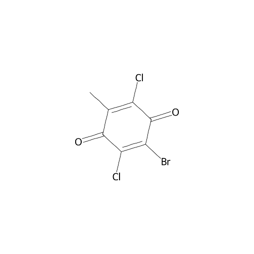 CC1=C(Cl)C(=O)C(Br)=C(Cl)C1=O